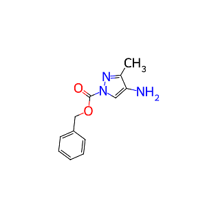 Cc1nn(C(=O)OCc2ccccc2)cc1N